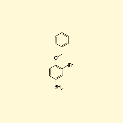 Bc1ccc(OCc2ccccc2)c(C(C)C)c1